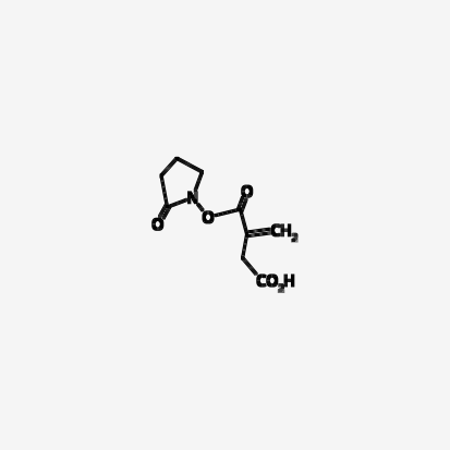 C=C(CC(=O)O)C(=O)ON1CCCC1=O